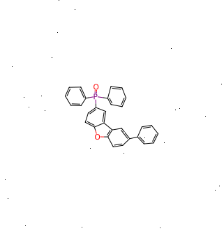 O=P(c1ccccc1)(c1ccccc1)c1ccc2oc3ccc(-c4ccccc4)cc3c2c1